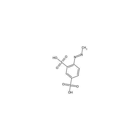 CN=Nc1ccc(S(=O)(=O)O)cc1S(=O)(=O)O